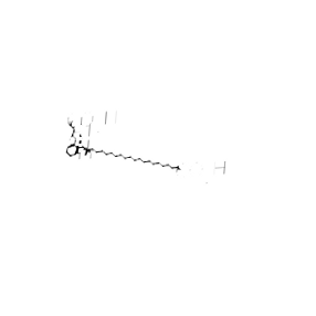 O=C(O)CCCCCCCCCCCCCCCCCCCC(=O)Nc1ccccc1OCCCC(=O)O